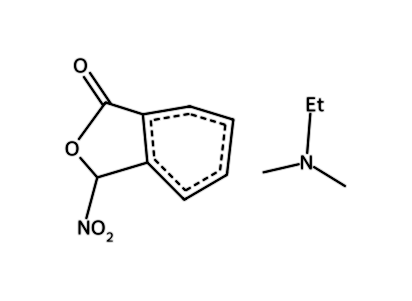 CCN(C)C.O=C1OC([N+](=O)[O-])c2ccccc21